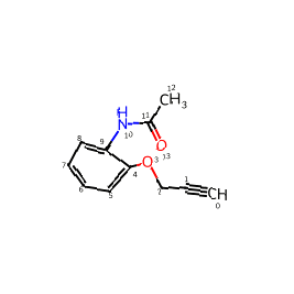 C#CCOc1ccccc1NC(C)=O